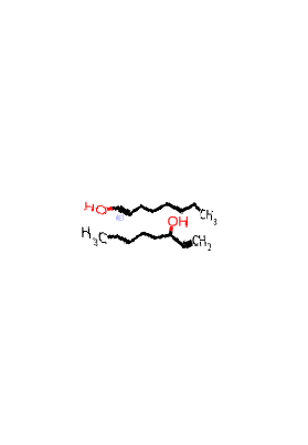 C=CC(O)CCCCC.CCCCCC/C=C/O